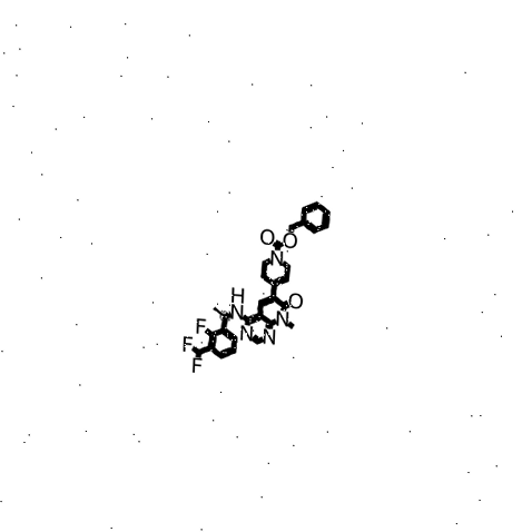 C[C@@H](Nc1ncnc2c1cc(C1=CCN(C(=O)OCc3ccccc3)CC1)c(=O)n2C)c1cccc(C(F)F)c1F